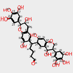 O=CCCCC(c1cc2c(cc1O)OC(c1cc(O)c(O)c(O)c1)C(O)C2)c1cc2c(cc1O)OCC(c1cc(O)c(O)c(O)c1)C2O